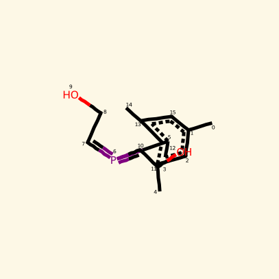 Cc1cc(C)c(/P(=C\CO)=C\CO)c(C)c1